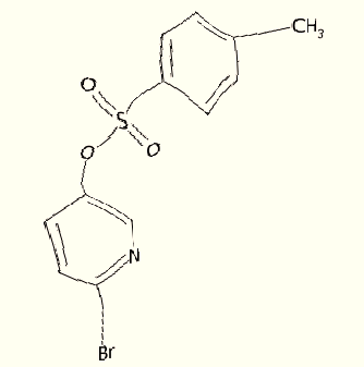 Cc1ccc(S(=O)(=O)Oc2ccc(Br)nc2)cc1